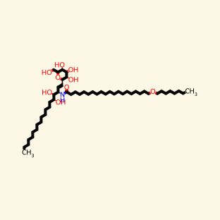 CCCCCCCCCCCCCC[C@@H](O)[C@@H](O)[C@H](/C=C/[C@H]1OC(CO)[C@H](O)C(O)[C@@H]1O)NC(=O)CCCCCCCCCCCCCCCCCCCOCCCCCCCC